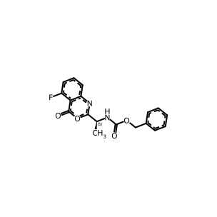 C[C@H](NC(=O)OCc1ccccc1)c1nc2cccc(F)c2c(=O)o1